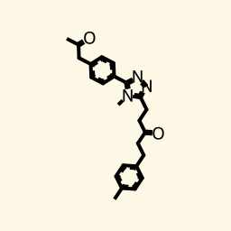 CC(=O)Cc1ccc(-c2nnc(CCC(=O)CCc3ccc(C)cc3)n2C)cc1